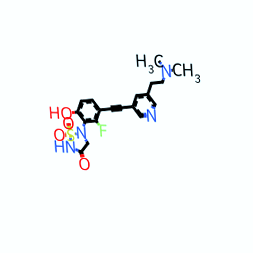 CN(C)CCc1cncc(C#Cc2ccc(O)c(N3CC(=O)NS3(=O)=O)c2F)c1